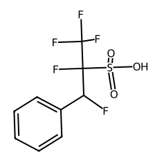 O=S(=O)(O)C(F)(C(F)c1ccccc1)C(F)(F)F